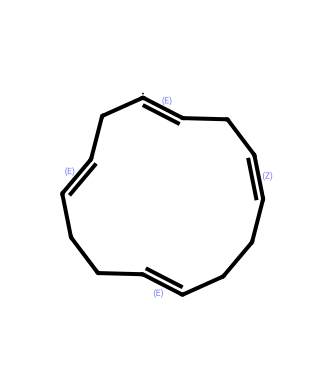 [C]1=C/C/C=C\CC/C=C/CC/C=C/C/1